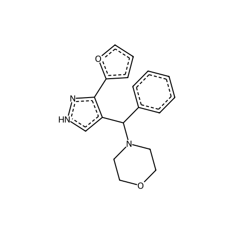 c1ccc(C(c2c[nH]nc2-c2ccco2)N2CCOCC2)cc1